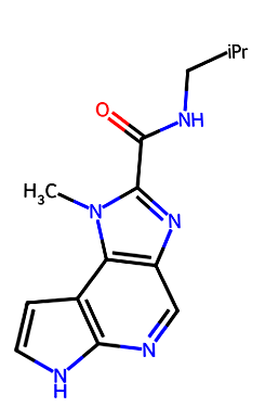 CC(C)CNC(=O)c1nc2cnc3[nH]ccc3c2n1C